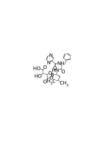 CC(C)C[C@H](NC(=O)[C@@H](Cc1ccccc1)NC(=O)c1cnccn1)B1OC(=O)C([C@@H](O)C(=O)O)O1